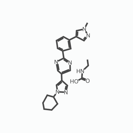 CCNC(=O)O.Cn1cc(-c2cccc(-c3ncc(-c4cnn(C5CCCCC5)c4)cn3)c2)cn1